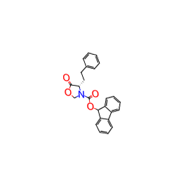 O=C1OCN(C(=O)OC2c3ccccc3-c3ccccc32)[C@H]1CCc1ccccc1